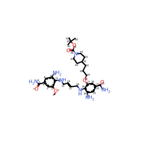 COc1cc(C(N)=O)cc(N)c1NCC=CCNc1c(N)cc(C(N)=O)cc1OCCCC1CCN(C(=O)OC(C)(C)C)CC1